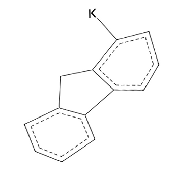 [K][c]1cccc2c1Cc1ccccc1-2